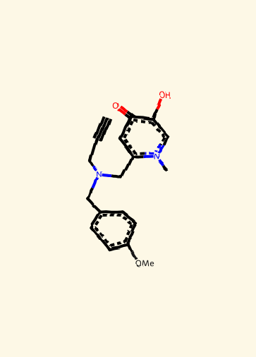 C#CCN(Cc1ccc(OC)cc1)Cc1cc(=O)c(O)cn1C